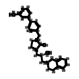 O=C1N(Cc2ccc(-c3ccnc(O)c3)cn2)CCN1C[C@H](O)CN1CCc2ccccc2C1